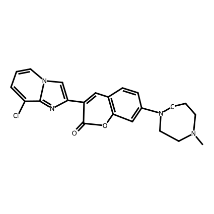 CN1CCCN(c2ccc3cc(-c4cn5cccc(Cl)c5n4)c(=O)oc3c2)CC1